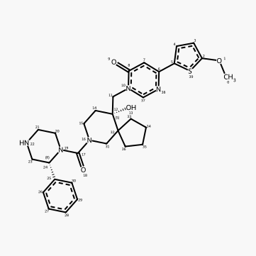 COc1ccc(-c2cc(=O)n(C[C@]3(O)CCN(C(=O)N4CCNC[C@H]4c4ccccc4)CC34CCCC4)cn2)s1